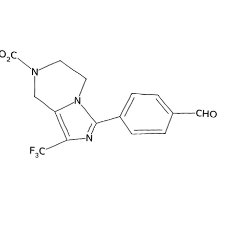 O=Cc1ccc(-c2nc(C(F)(F)F)c3n2CCN(C(=O)O)C3)cc1